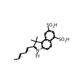 C/C=C/C=C/C1=[N+](CC)c2ccc3c(S(=O)(=O)O)cc(S(=O)(=O)O)cc3c2C1(C)C